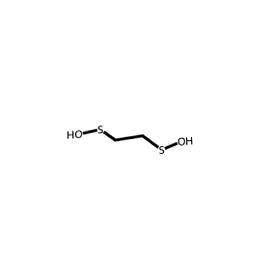 OSCCSO